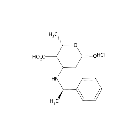 C[C@@H]1OC(=O)CC(N[C@H](C)c2ccccc2)C1C(=O)O.Cl